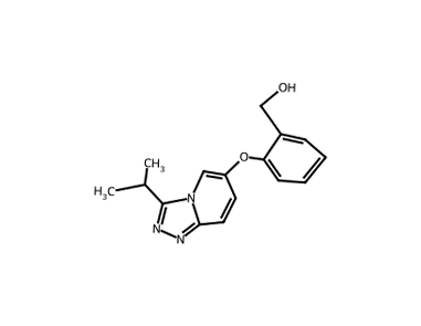 CC(C)c1nnc2ccc(Oc3ccccc3CO)cn12